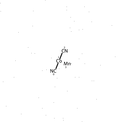 N#[C][Co][C]#N.[Mn]